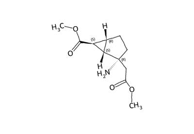 COC(=O)C[C@]1(N)CC[C@H]2[C@H](C(=O)OC)[C@H]21